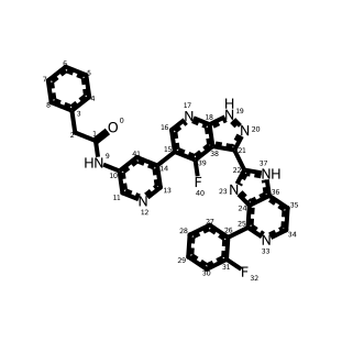 O=C(Cc1ccccc1)Nc1cncc(-c2cnc3[nH]nc(-c4nc5c(-c6ccccc6F)nccc5[nH]4)c3c2F)c1